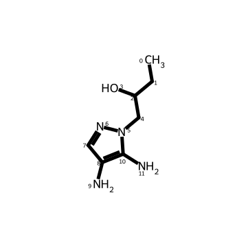 CCC(O)Cn1ncc(N)c1N